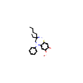 CCCCC1(CC)CN(c2ccccc2)c2cc(OC)c(O)cc2SN1